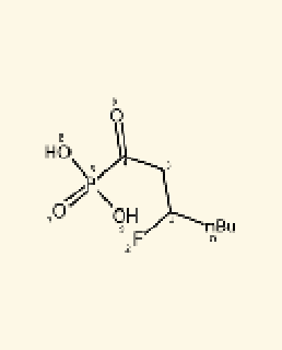 CCCCC(F)CC(=O)P(=O)(O)O